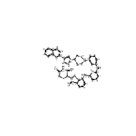 O=C1CCC(N2Cc3c(Nc4cccc(Nc5cccc(N6CCC(n7cc(-c8cnc9ccccc9n8)cn7)CC6)c5)n4)cccc3C2=O)C(=O)N1